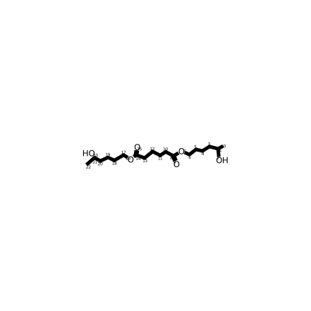 CC(O)CCCCOC(=O)CCCCC(=O)OCCCCC(C)O